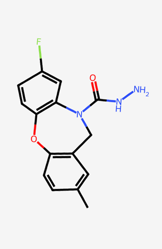 Cc1ccc2c(c1)CN(C(=O)NN)c1cc(F)ccc1O2